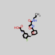 C=CCNC(=O)c1coc(C23CCC(O2)[C@H](Cc2cc(/C=C/C(=O)O)ccc2F)C3)n1